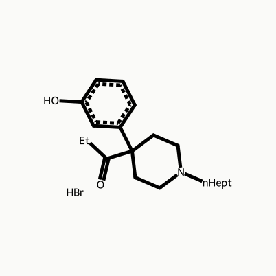 Br.CCCCCCCN1CCC(C(=O)CC)(c2cccc(O)c2)CC1